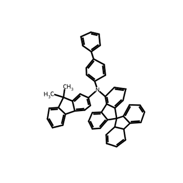 CC1(C)c2ccccc2-c2ccc(N(c3ccc(-c4ccccc4)cc3)c3cccc4c3-c3ccccc3C43c4ccccc4C4C=CC=CC43)cc21